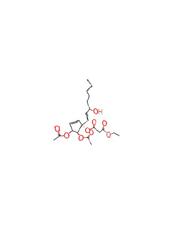 CCCCCC(O)C=C[C@]1(OC(=O)CC(=O)OCC)C=C[C@H](OC(C)=O)[C@@H]1OC(C)=O